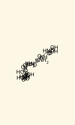 NC(=O)/C(C#CCNC(=O)CCSSCC(N)C(=O)NCCCCCC(=O)NC(CC(=O)O)C(=O)O)=C\N(C=O)C1CC(O)C(COP(=O)(O)OP(=O)(O)OP(=O)(O)O)O1